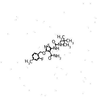 Cc1ccc(COc2nsc(NC(=O)NCC(C)(C)C)c2C(N)=O)c(F)c1